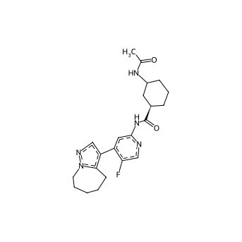 CC(=O)NC1CCC[C@@H](C(=O)Nc2cc(-c3cnn4c3CCCCC4)c(F)cn2)C1